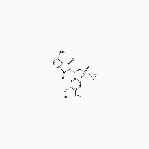 CCOc1cc([C@H](CS(=O)(=O)C2CC2)N2C(=O)c3csc(NC(C)=O)c3C2=O)ccc1OC